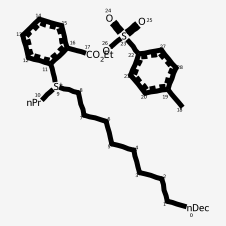 CCCCCCCCCCCCCCCCCC[S+](CCC)c1ccccc1C(=O)OCC.Cc1ccc(S(=O)(=O)[O-])cc1